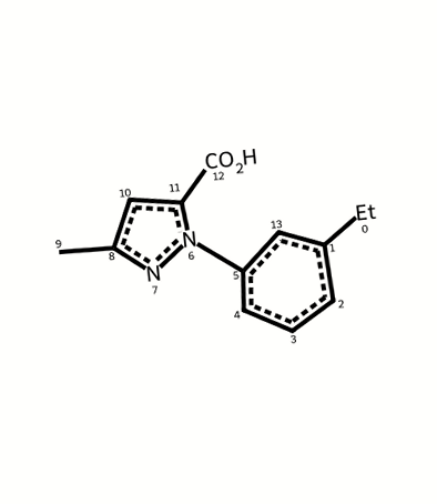 CCc1cccc(-n2nc(C)cc2C(=O)O)c1